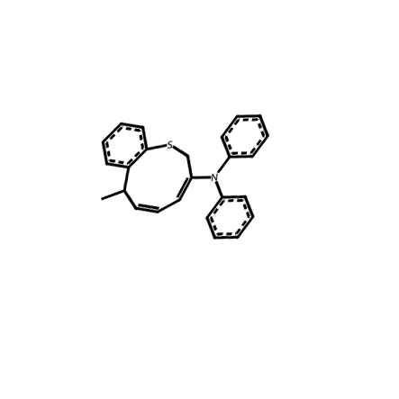 CC1/C=C\C=C(\N(c2ccccc2)c2ccccc2)CSc2ccccc21